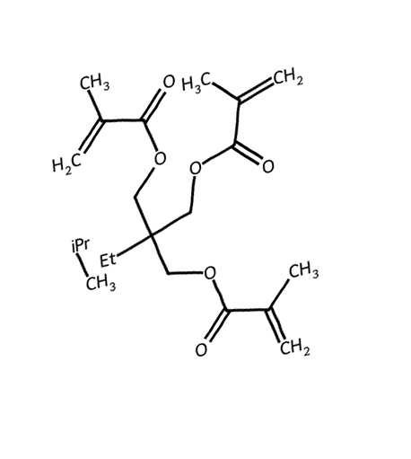 C=C(C)C(=O)OCC(CC)(COC(=O)C(=C)C)COC(=O)C(=C)C.CC(C)C